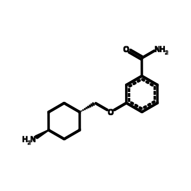 NC(=O)c1cccc(OC[C@H]2CC[C@H](N)CC2)c1